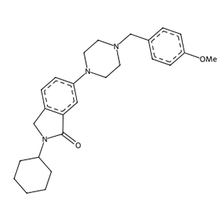 COc1ccc(CN2CCN(c3ccc4c(c3)C(=O)N(C3CCCCC3)C4)CC2)cc1